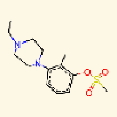 CCN1CCN(c2cccc(OS(C)(=O)=O)c2C)CC1